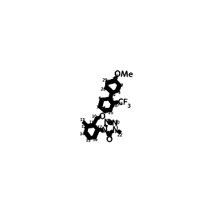 COc1ccc(-c2ccc(OCc3c(C)cccc3-n3nnn(C)c3=O)cc2C(F)(F)F)cc1